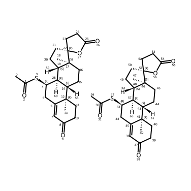 CC(=O)S[C@@H]1CC2=CC(=O)CC[C@]2(C)[C@H]2CC[C@@]3(C)[C@@H](CC[C@@]34CCC(=O)O4)[C@H]12.CC(=O)S[C@@H]1CC2=CC(=O)CC[C@]2(C)[C@H]2CC[C@@]3(C)[C@@H](CC[C@@]34CCC(=O)O4)[C@H]12